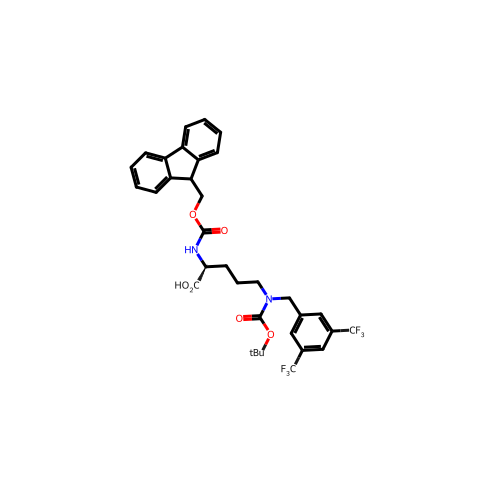 CC(C)(C)OC(=O)N(CCC[C@H](NC(=O)OCC1c2ccccc2-c2ccccc21)C(=O)O)Cc1cc(C(F)(F)F)cc(C(F)(F)F)c1